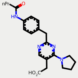 CCCC(=O)Nc1ccc(Cc2ncc(CC(=O)O)c(N3CCCC3)n2)cc1